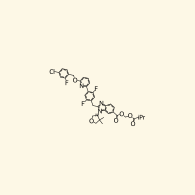 CC(C)C(=O)OCOC(=O)c1ccc2nc(Cc3cc(F)c(-c4cccc(OCc5ccc(Cl)cc5F)n4)cc3F)n([C@@H]3COCC3(C)C)c2c1